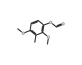 COc1ccc(OC=O)c(OC)c1C